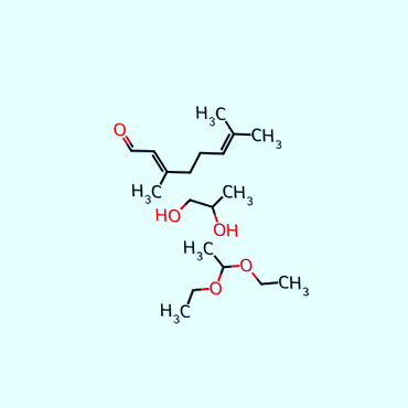 CC(C)=CCCC(C)=CC=O.CC(O)CO.CCOC(C)OCC